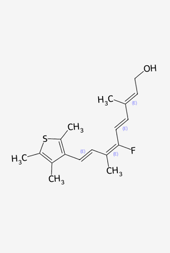 CC(/C=C/C(F)=C(C)\C=C\c1c(C)sc(C)c1C)=C\CO